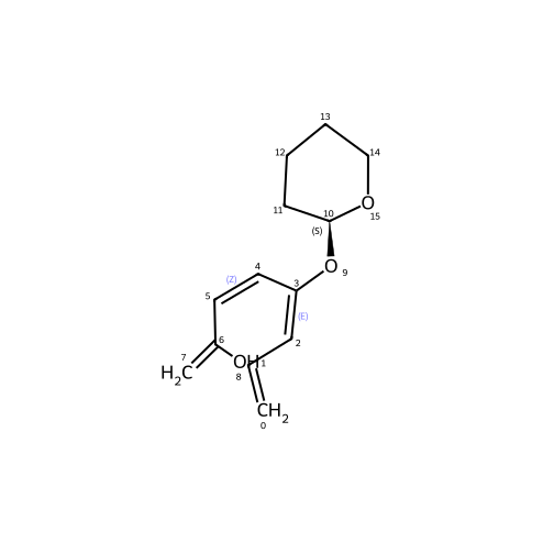 C=C/C=C(\C=C/C(=C)O)O[C@H]1CCCCO1